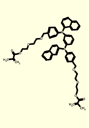 C=C(C)C(=O)OCCOCCOCc1ccc(N(c2cccc(N(c3ccc(COCCOCCOC(=O)C(=C)C)cc3)c3cccc4ccccc34)c2)c2ccc3ccccc3c2)cc1